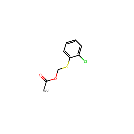 CC(C)(C)C(=O)OCSc1ccccc1Cl